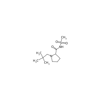 CC(C)(C)CN1CCCC1C(=O)NS(C)(=O)=O